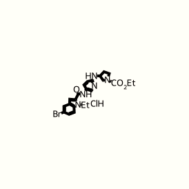 CCOC(=O)N1CCC(Nc2ccc(NC(=O)c3cc4cc(Br)ccc4n3CC)cn2)C1.Cl